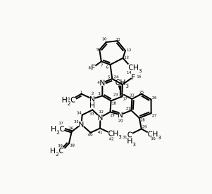 C=CNc1nc(C2=C(F)C=CC=CC2C)c(F)cc1/C(=N\c1c(SC)cccc1C(C)C)N1CCN(C(=C)C=C)CC1C